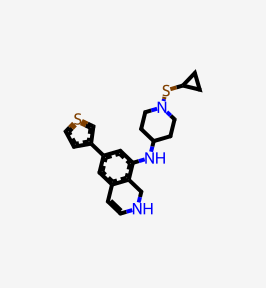 C1=Cc2cc(-c3ccsc3)cc(NC3CCN(SC4CC4)CC3)c2CN1